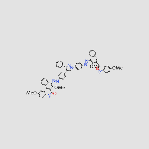 COc1ccc(N(C)OCc2cc3ccccc3c(N=Nc3ccc(-n4cc(-c5ccc(N=Nc6c(OC)c(C(=O)N(C)c7ccc(OC)cc7)cc7ccccc67)cc5)c(-c5ccccc5)n4)cc3)c2OC)cc1